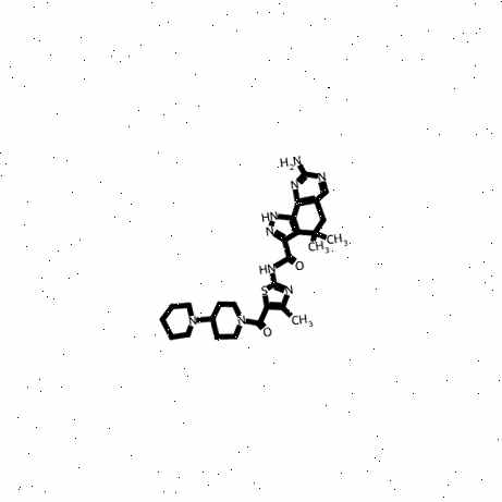 Cc1nc(NC(=O)c2n[nH]c3c2C(C)(C)Cc2cnc(N)nc2-3)sc1C(=O)N1CCC(N2CCCCC2)CC1